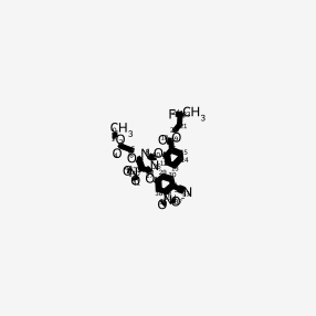 CCOC(=O)COc1nc(Oc2ccccc2C(=O)OCCC(C)F)nc(Oc2ccc(C#N)c([N+](=O)[O-])c2)c1[N+](=O)[O-]